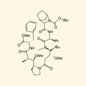 CC[C@H](C)[C@@H]([C@@H](CC(=O)N1CCC[C@H]1[C@H](OC)[C@@H](C)C(=O)N[C@@H](Cc1ccccc1)C(=O)OC)OC)N(C)C(=O)[C@@H](NC(=O)C1C2CCC(C2)N1C(=O)OC(C)(C)C)C(C)C